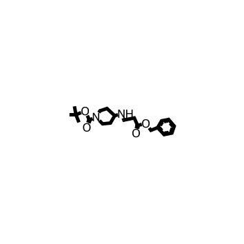 CC(C)(C)OC(=O)N1CCC(NCCC(=O)OCc2ccccc2)CC1